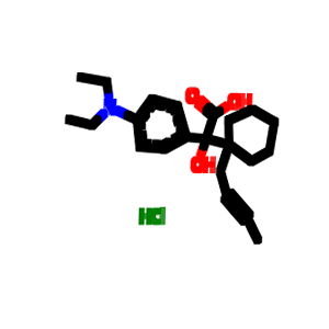 CC#CCC1(C(O)(C(=O)O)c2ccc(N(CC)CC)cc2)CCCCC1.Cl